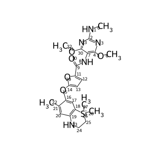 CNc1nc(OC)c(NC(=O)c2ccc(Oc3cc4c(cc3C)NCC[Si]4(C)C)o2)c(OC)n1